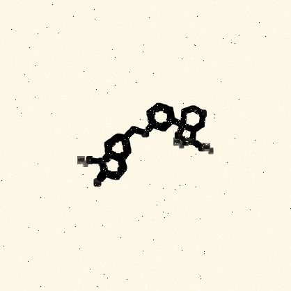 COC1COCCC1(OC)c1cccc(OCc2ccc3c(ccc(=O)n3C)c2)c1